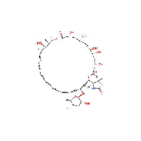 C[C@@H]1[C@H](O)[C@@H](C)/C=C/C=C/C=C/C=C/C=C/C=C/C=C/[C@H](O[C@@H]2O[C@H](C)[C@@H](O)C[C@H]2O)C[C@@H]2O[C@](O)(C[C@@H](O)C[C@@H](O)[C@H](O)CC[C@@H](O)C[C@@H](O)CC(=O)O[C@H]1C)C[C@@H]1OC(=O)N[C@H]12